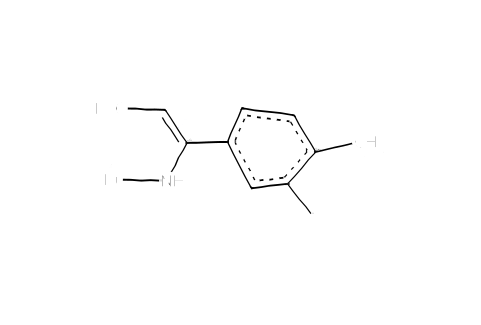 C/C=C(\NCC)c1ccc(C)c(I)c1